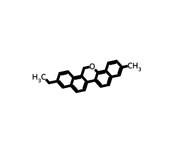 CCc1ccc2c3c(ccc2c1)-c1ccc2cc(C)ccc2c1OC3